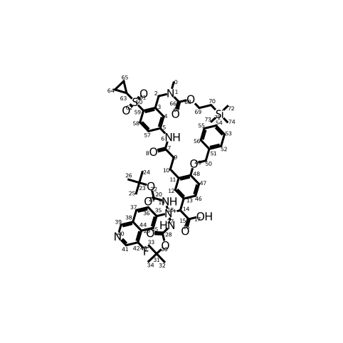 CN(Cc1cc(NC(=O)CCc2cc(C(C(=O)O)[N+](NC(=O)OC(C)(C)C)(NC(=O)OC(C)(C)C)c3ccc4cncc(F)c4c3)ccc2OCc2ccccc2)ccc1S(=O)(=O)C1CC1)C(=O)OCC[Si](C)(C)C